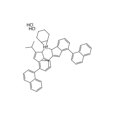 CC(C)C1=Cc2c(-c3cccc4ccccc34)cccc2[CH]1[Hf]1([CH]2C(C(C)C)=Cc3c(-c4cccc5ccccc45)cccc32)[CH]2CCCC[CH]21.Cl.Cl